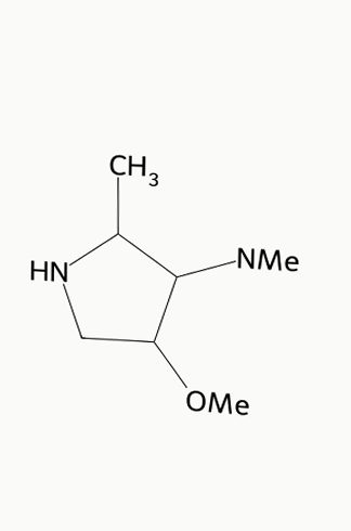 CNC1C(C)NCC1OC